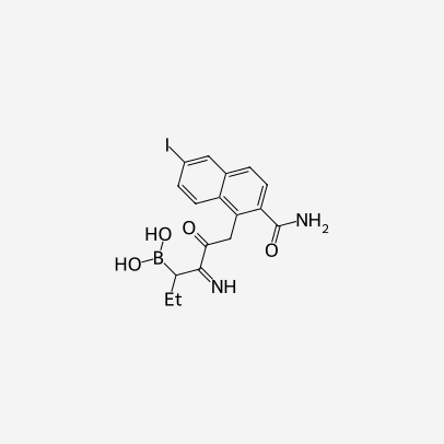 CCC(B(O)O)C(=N)C(=O)Cc1c(C(N)=O)ccc2cc(I)ccc12